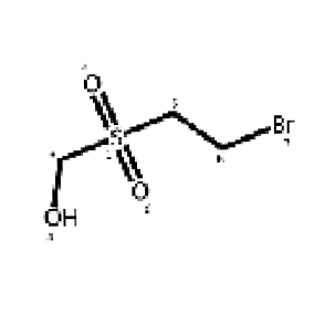 O=S(=O)(CO)CCBr